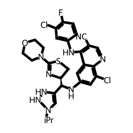 CC(C)N1C=C(C(Nc2cc(Cl)c3ncc(C#N)c(Nc4ccc(F)c(Cl)c4)c3c2)[C@@H]2CSC(N3CCOCC3)=N2)NN1